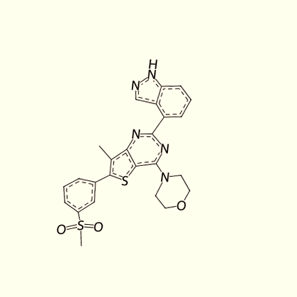 Cc1c(-c2cccc(S(C)(=O)=O)c2)sc2c(N3CCOCC3)nc(-c3cccc4[nH]ncc34)nc12